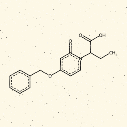 CCC(C(=O)O)n1ccc(OCc2ccccc2)cc1=O